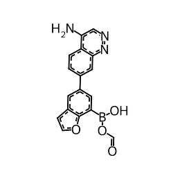 Nc1cnnc2cc(-c3cc(B(O)OC=O)c4occc4c3)ccc12